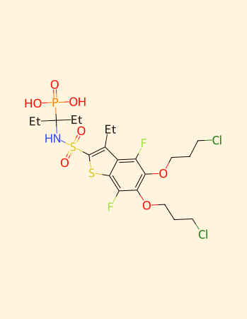 CCc1c(S(=O)(=O)NC(CC)(CC)P(=O)(O)O)sc2c(F)c(OCCCCl)c(OCCCCl)c(F)c12